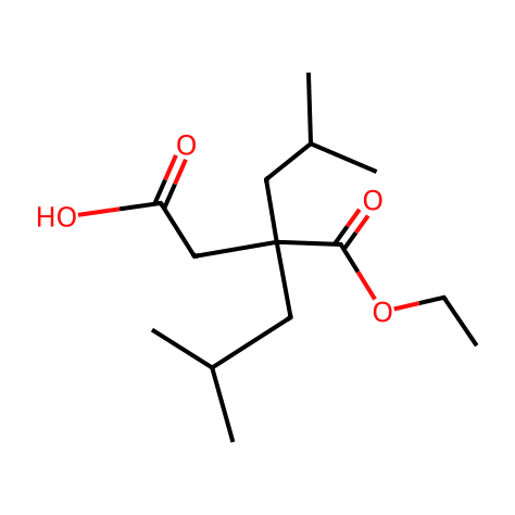 CCOC(=O)C(CC(=O)O)(CC(C)C)CC(C)C